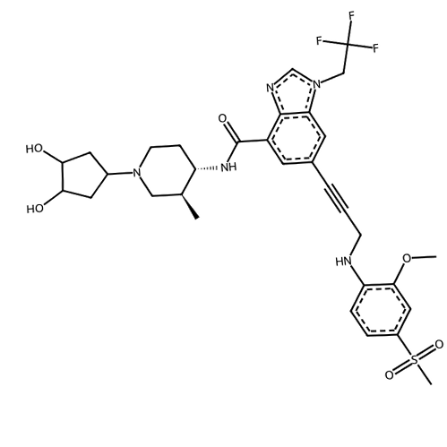 COc1cc(S(C)(=O)=O)ccc1NCC#Cc1cc(C(=O)N[C@H]2CCN(C3CC(O)C(O)C3)C[C@@H]2C)c2ncn(CC(F)(F)F)c2c1